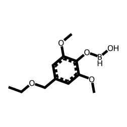 CCOCc1cc(OC)c(OBO)c(OC)c1